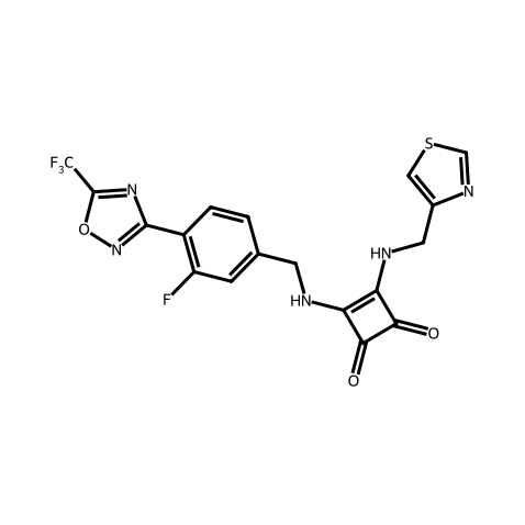 O=c1c(NCc2ccc(-c3noc(C(F)(F)F)n3)c(F)c2)c(NCc2cscn2)c1=O